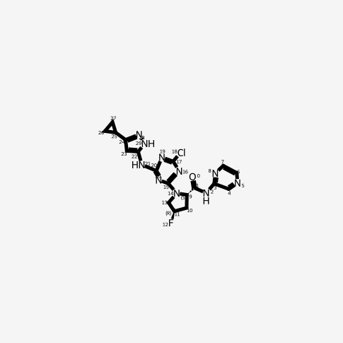 O=C(Nc1cnccn1)[C@@H]1C[C@@H](F)CN1c1nc(Cl)nc(Nc2cc(C3CC3)n[nH]2)n1